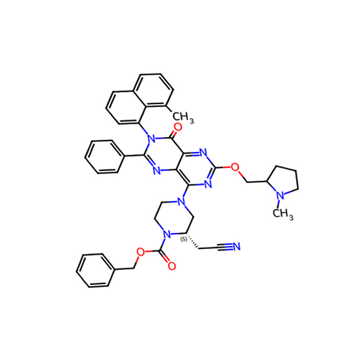 Cc1cccc2cccc(-n3c(-c4ccccc4)nc4c(N5CCN(C(=O)OCc6ccccc6)[C@@H](CC#N)C5)nc(OCC5CCCN5C)nc4c3=O)c12